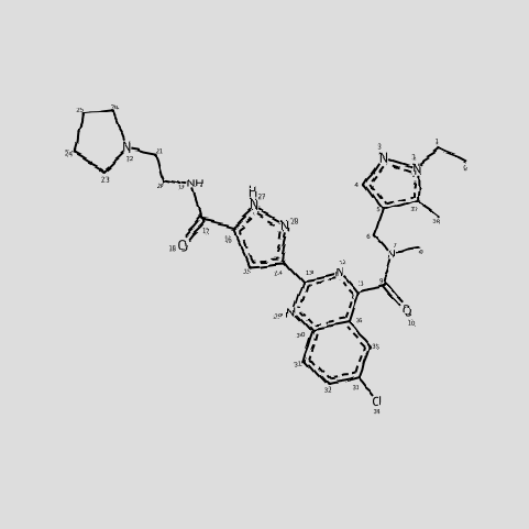 CCn1ncc(CN(C)C(=O)c2nc(-c3cc(C(=O)NCCN4CCCC4)[nH]n3)nc3ccc(Cl)cc23)c1C